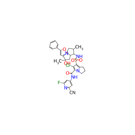 CC1CCC(CC(C)(O)c2cc(-c3ccccc3)on2)C1NS(=O)(=O)c1c(Cl)c(C(=O)Nc2cc(F)nc(C#N)c2)n2c1CCC2